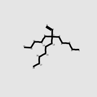 C=CC(CCCCC)(CCCCC)CCCCCC